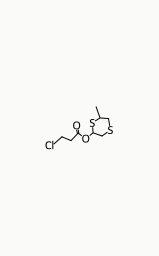 CC1CSCC(OC(=O)CCCl)S1